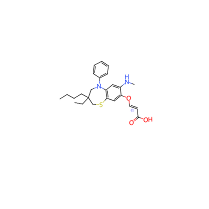 CCCCC1(CC)CSc2cc(O/C=C/C(=O)O)c(NC)cc2N(c2ccccc2)C1